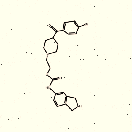 O=C(Nc1ccc2c(c1)CNC2)OCCN1CCC(C(=O)c2ccc(Br)cc2)CC1